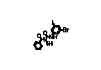 O=C(Nc1cc(Br)cc(I)c1)N(S)C(=O)c1ccccc1